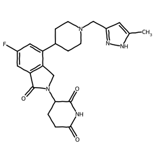 Cc1cc(CN2CCC(c3cc(F)cc4c3CN(C3CCC(=O)NC3=O)C4=O)CC2)n[nH]1